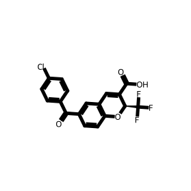 O=C(O)C1=Cc2cc(C(=O)c3ccc(Cl)cc3)ccc2O[C@@H]1C(F)(F)F